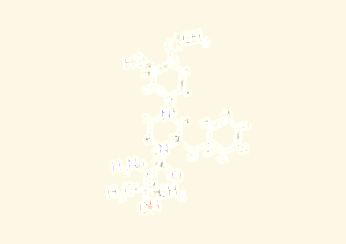 COc1ccc(N2CCN(C(=O)[C@@H](N)C(C)(C)O)[C@@H](Cc3ccccc3)C2)cc1O